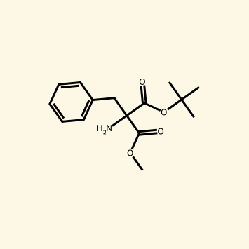 COC(=O)C(N)(Cc1ccccc1)C(=O)OC(C)(C)C